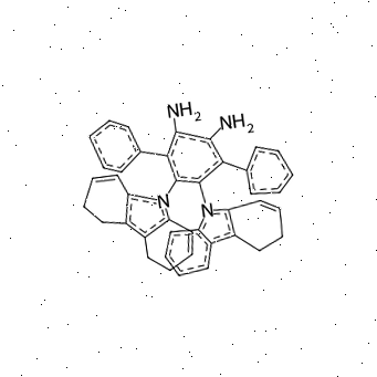 Nc1c(N)c(-c2ccccc2)c(-n2c3c(c4ccccc42)CCC=C3)c(-n2c3c(c4c2C=CCC4)CCC=C3)c1-c1ccccc1